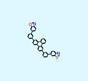 c1cc(-c2ccc3ncoc3c2)cc(-c2ccc3c4ccc(-c5cccc(-c6ccc7ncsc7c6)c5)cc4c4ccccc4c3c2)c1